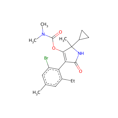 CCc1cc(C)cc(Br)c1C1=C(OC(=O)N(C)C)C(C)(C2CC2)NC1=O